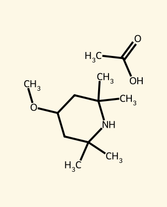 CC(=O)O.COC1CC(C)(C)NC(C)(C)C1